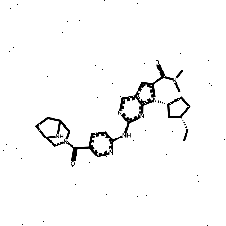 CC[C@H]1CC[C@@H](n2c(C(=O)N(C)C)cc3cnc(Nc4ccc(C(=O)N5CC6CCC(C5)N6)cn4)nc32)C1